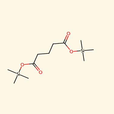 C[Si](C)(C)OC(=O)CCCC(=O)O[Si](C)(C)C